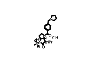 CC(C)[C@H]1C(=O)N(S(C)(=O)=O)[C@H]2CCN(C(=O)c3ccc(CN4CCCC4)cc3)[C@H]12.Cl